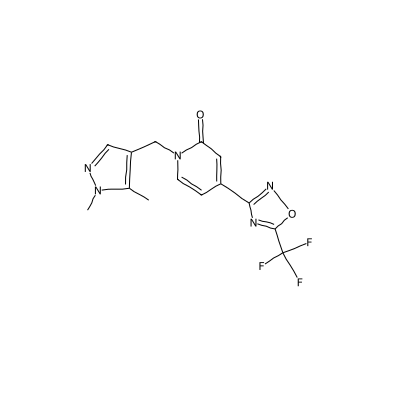 Cc1c(Cn2ccc(-c3noc(C(F)(F)F)n3)cc2=O)cnn1C